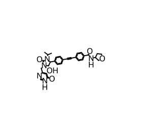 CC(C)N1C(=O)N(Cc2nc[nH]c(=O)c2O)CC1c1ccc(C#Cc2ccc(C(=O)NC3CCOC3)cc2)cc1